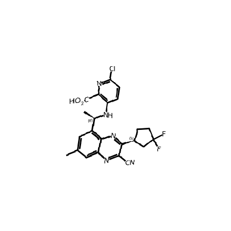 Cc1cc([C@@H](C)Nc2ccc(Cl)nc2C(=O)O)c2nc([C@H]3CCC(F)(F)C3)c(C#N)nc2c1